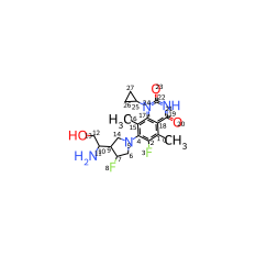 Cc1c(F)c(N2CC(F)C(C(N)CO)C2)c(C)c2c1c(=O)[nH]c(=O)n2C1CC1